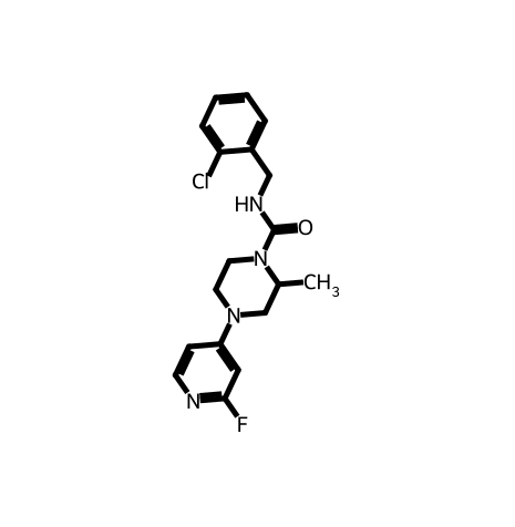 CC1CN(c2ccnc(F)c2)CCN1C(=O)NCc1ccccc1Cl